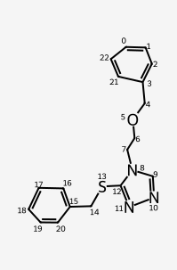 c1ccc(COCCn2cnnc2SCc2ccccc2)cc1